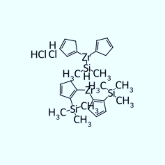 C[SiH](C)[Zr]([C]1=CC=CC1)[C]1=CC=CC1.C[Si](C)(C)C1=[C]([Zr][C]2=C([Si](C)(C)C)C=CC2)CC=C1.Cl.Cl